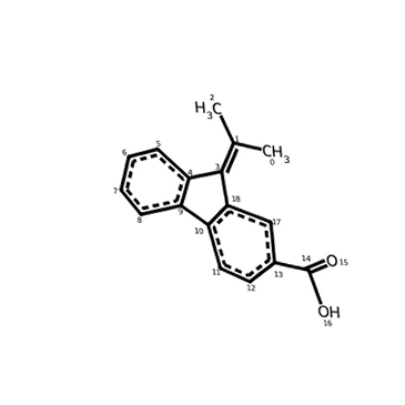 CC(C)=C1c2ccccc2-c2ccc(C(=O)O)cc21